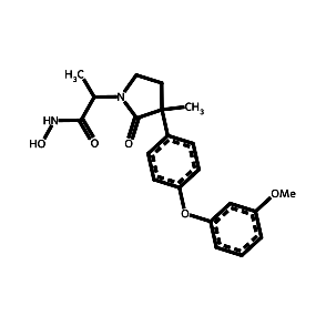 COc1cccc(Oc2ccc(C3(C)CCN(C(C)C(=O)NO)C3=O)cc2)c1